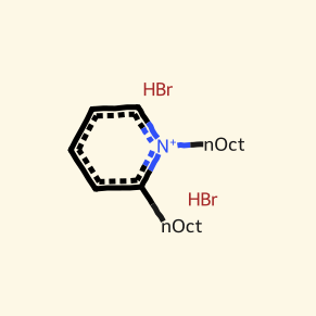 Br.Br.CCCCCCCCc1cccc[n+]1CCCCCCCC